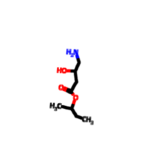 CCC(C)OC(=O)CC(O)CN